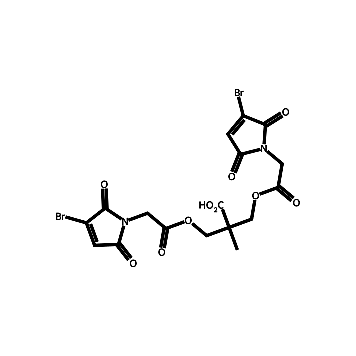 CC(COC(=O)CN1C(=O)C=C(Br)C1=O)(COC(=O)CN1C(=O)C=C(Br)C1=O)C(=O)O